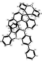 c1ccc(-c2ccc(N(c3cccc4c3-c3c(ccc5ccccc35)C43c4ccccc4Oc4ccccc43)c3cccc4c3sc3ccccc34)cc2)cc1